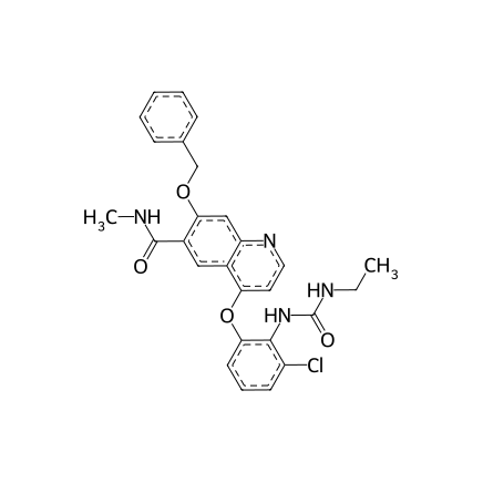 CCNC(=O)Nc1c(Cl)cccc1Oc1ccnc2cc(OCc3ccccc3)c(C(=O)NC)cc12